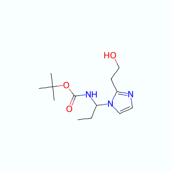 CCC(NC(=O)OC(C)(C)C)n1ccnc1CCO